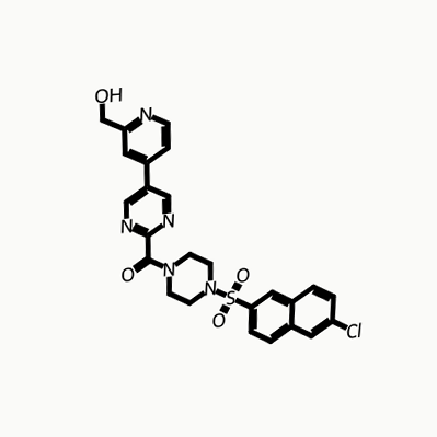 O=C(c1ncc(-c2ccnc(CO)c2)cn1)N1CCN(S(=O)(=O)c2ccc3cc(Cl)ccc3c2)CC1